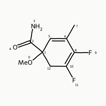 COC1(C(N)=O)C=C(C)C(F)=C(F)C1